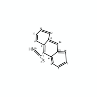 N=C=S.c1ccc2cc3ccccc3cc2c1